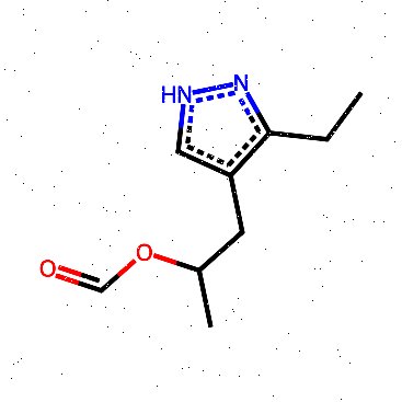 CCc1n[nH]cc1CC(C)OC=O